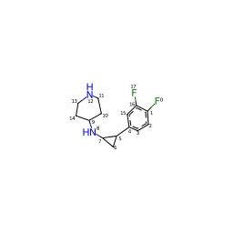 Fc1ccc(C2CC2NC2CCNCC2)cc1F